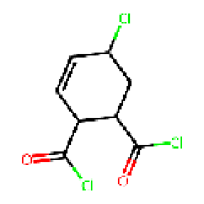 O=C(Cl)C1C=CC(Cl)CC1C(=O)Cl